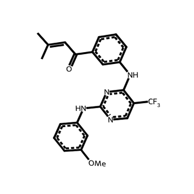 COc1cccc(Nc2ncc(C(F)(F)F)c(Nc3cccc(C(=O)C=C(C)C)c3)n2)c1